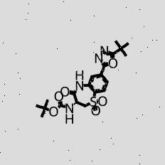 CC(C)(C)OC(=O)N[C@H]1CS(=O)(=O)c2ccc(-c3nnc(C(C)(C)C)o3)cc2NC1=O